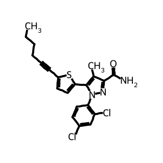 CCCCC#Cc1ccc(-c2c(C)c(C(N)=O)nn2-c2ccc(Cl)cc2Cl)s1